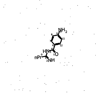 CCCC(=N)NC(=O)c1ccc(N)cc1